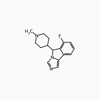 CN1CCC(C2c3c(F)cccc3-c3cncn32)CC1